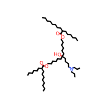 CCCCCCCCC(CCCCCC)C(=O)OCCCCCCC(O)(CCCCCCOC(=O)C(CCCCCC)CCCCCCCC)CCCCN(CCC)CCC